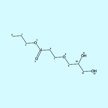 CCCOC(=O)CCOCC(O)CO